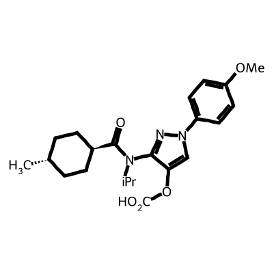 COc1ccc(-n2cc(OC(=O)O)c(N(C(=O)[C@H]3CC[C@H](C)CC3)C(C)C)n2)cc1